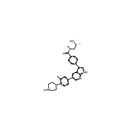 Cc1cc(-c2cnc3[nH]cc(-c4ccc(C(=O)N(C)C[C@@H](C)O)cc4)c3c2)ccc1N1CCN(C)CC1